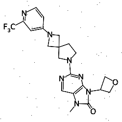 Cn1c(=O)n(C2COC2)c2nc(N3CCC4(CN(c5ccnc(C(F)(F)F)c5)C4)C3)ncc21